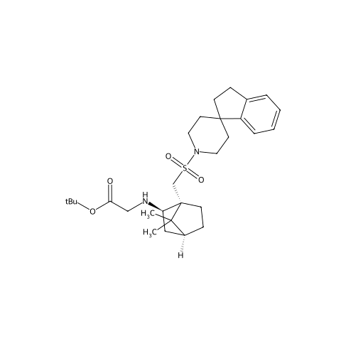 CC(C)(C)OC(=O)CN[C@@H]1C[C@@H]2CC[C@@]1(CS(=O)(=O)N1CCC3(CCc4ccccc43)CC1)C2(C)C